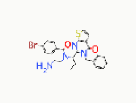 CCC(c1nc2sccc2c(=O)n1Cc1ccccc1)N(CCN)C(=O)c1ccc(Br)cc1